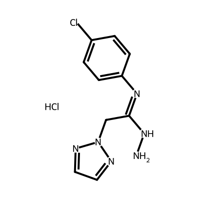 Cl.NN/C(Cn1nccn1)=N/c1ccc(Cl)cc1